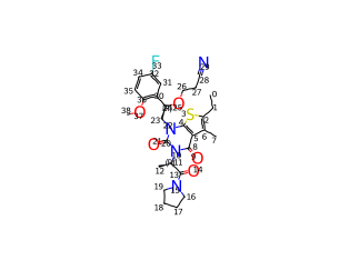 CCc1sc2c(c1C)c(=O)n([C@H](C)C(=O)N1CCCC1)c(=O)n2C[C@H](OCCC#N)c1cc(F)ccc1OC